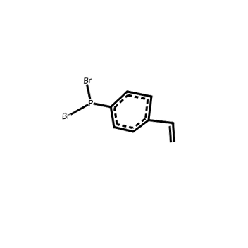 C=Cc1ccc(P(Br)Br)cc1